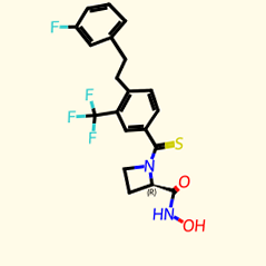 O=C(NO)[C@H]1CCN1C(=S)c1ccc(CCc2cccc(F)c2)c(C(F)(F)F)c1